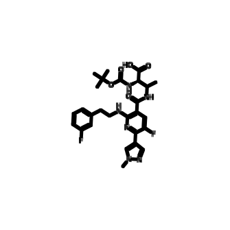 CC(NC(=O)c1cc(F)c(-c2cnn(C)c2)nc1NCCc1cccc(F)c1)[C@@H](NC(=O)OC(C)(C)C)C(=O)O